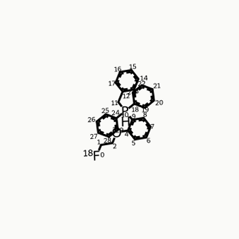 [18F]CCOc1ccccc1[PH](Cc1ccccc1)(c1ccccc1)c1ccccc1